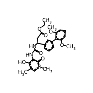 CCOC(=O)C[C@H](NC(=O)Nc1c(O)c(C)cn(C)c1=O)c1cccc(-c2c(OC)cccc2OC)c1